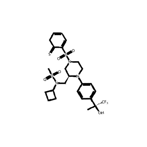 C[C@](O)(c1ccc(N2CCN(S(=O)(=O)C3=CC=CCC3=S)C[C@@H]2CN(C2CCC2)S(C)(=O)=O)cc1)C(F)(F)F